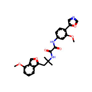 COc1cc(NC(=O)C(=O)NC(C)(C)Cc2occ3c(OC)cccc23)ccc1-c1cnco1